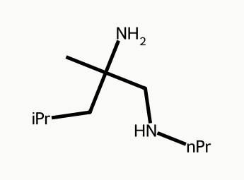 CCCNCC(C)(N)CC(C)C